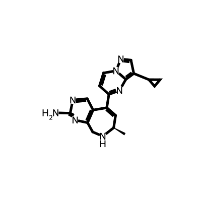 C[C@@H]1C=C(c2ccn3ncc(C4CC4)c3n2)c2cnc(N)nc2CN1